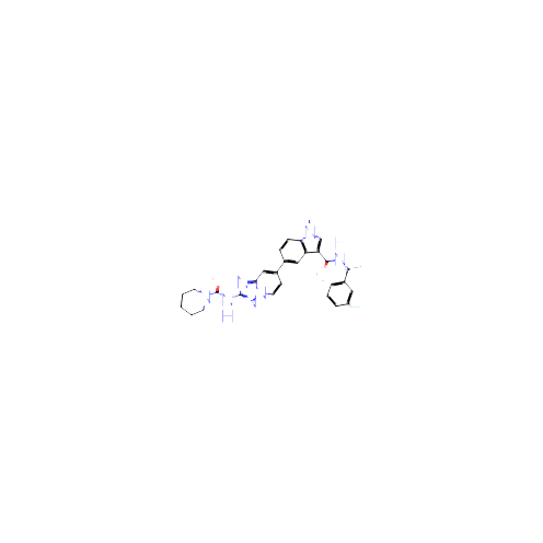 C[C@H](NC(=O)c1cn(C)c2ccc(-c3ccn4nc(NC(=O)N5CCCCC5)nc4c3)cc12)c1cccc(F)c1